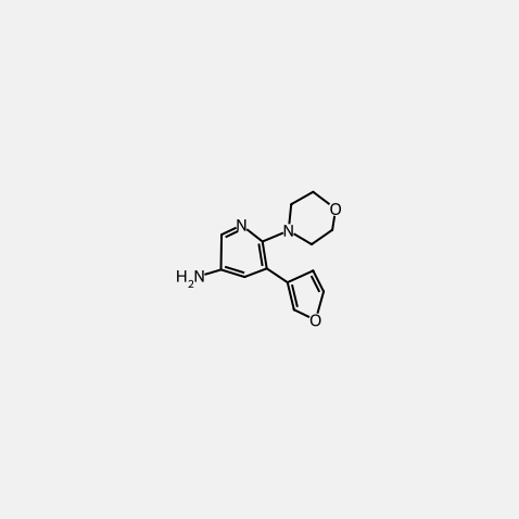 Nc1cnc(N2CCOCC2)c(-c2ccoc2)c1